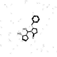 O=C1CC[C@@H](Cc2ccccc2)N1C(O)[C@H]1CC=C[C@@H]1O